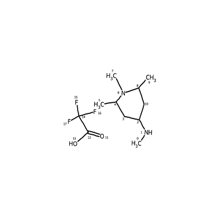 CNC1CC(C)N(C)C(C)C1.O=C(O)C(F)(F)F